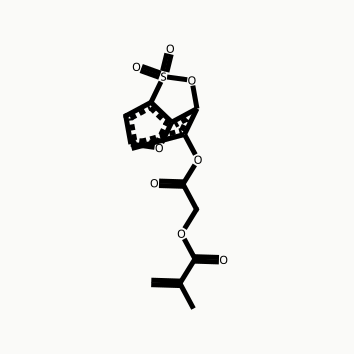 C=C(C)C(=O)OCC(=O)Oc1c2c3oc1cc3S(=O)(=O)O2